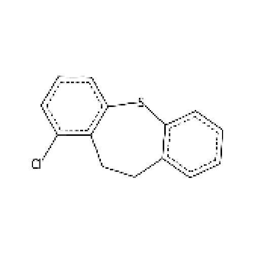 Clc1cccc2c1CCc1ccccc1S2